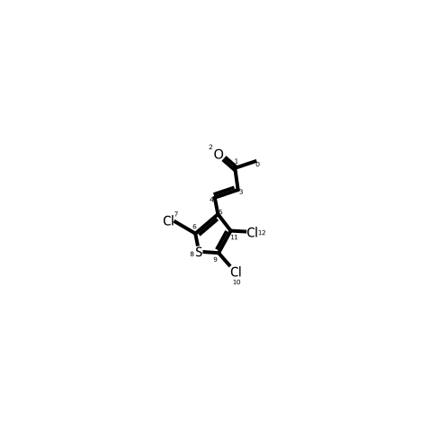 CC(=O)C=Cc1c(Cl)sc(Cl)c1Cl